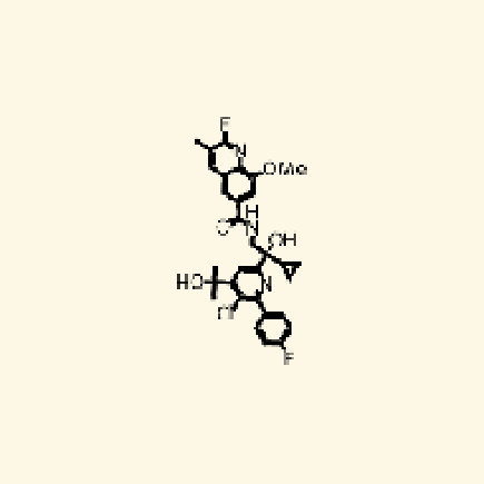 COc1cc(C(=O)NC[C@](O)(c2cc(C(C)(C)O)c(Cl)c(-c3ccc(F)cc3)n2)C2CC2)cc2cc(C)c(F)nc12